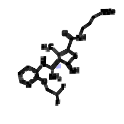 CNCCCNC(=O)C1=C(C)/C(=C(/N)Nc2cccnc2OCC(F)F)C(=N)S1